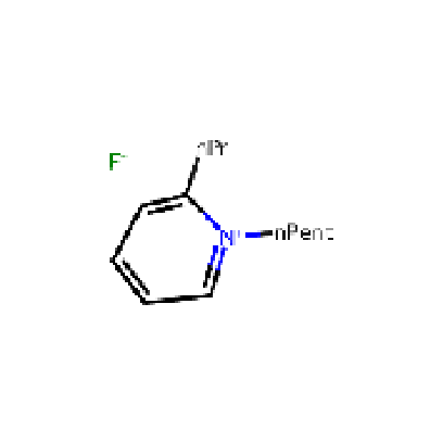 CCCCC[n+]1ccccc1CCC.[F-]